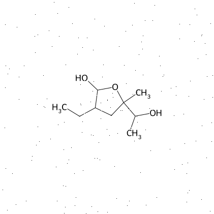 CCC1CC(C)(C(C)O)OC1O